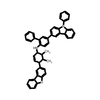 CC1C(Nc2ccc(-c3ccc4c(c3)c3ccccc3n4-c3ccccc3)cc2-c2ccccc2)C=CC(c2ccc3oc4ccccc4c3c2)C1C